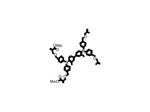 C=C(C)COCc1ccc(N(c2ccc(COCC(=C)C)cc2)c2ccc(-c3ccc(N(c4ccc(COCC(=C)C(=O)OC)cc4)c4ccc(COCC(=C)C(=O)OC)cc4)c(C)c3)cc2C)cc1